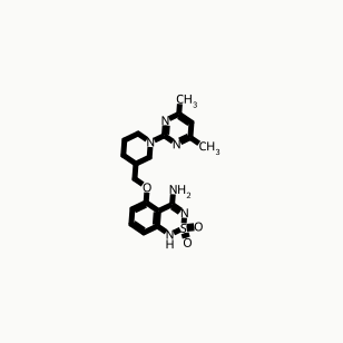 Cc1cc(C)nc(N2CCCC(COc3cccc4c3C(N)=NS(=O)(=O)N4)C2)n1